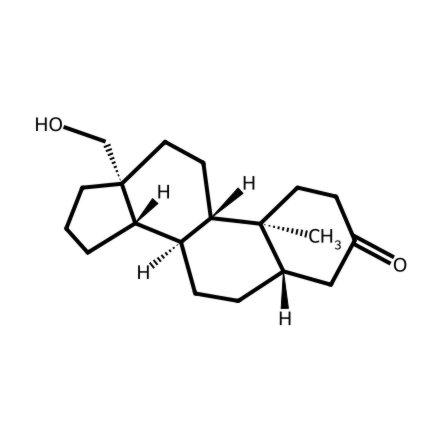 C[C@]12CCC(=O)C[C@@H]1CC[C@H]1[C@@H]3CCC[C@@]3(CO)CC[C@@H]12